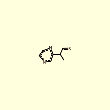 CC(C=S)c1cnccn1